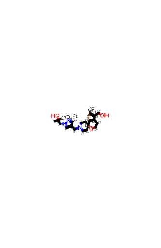 CCOC(=O)C(C)(O)Cn1cc(CN2CCC3(CC2)OCCc2c3sc(C(F)(F)F)c2CO)cn1